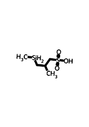 C[SiH2]CC(C)CS(=O)(=O)O